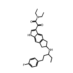 CCC(CCc1ccc(F)cc1)NC1Cc2cc3[nH]cc(C(=O)C(=O)N(CC)CC)c3cc2C1